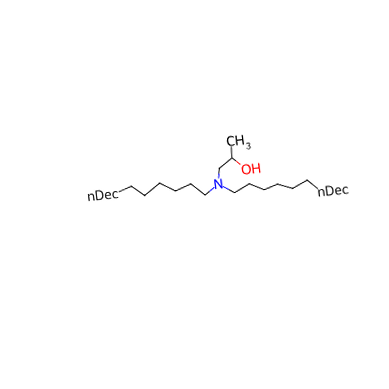 CCCCCCCCCCCCCCCCN(CCCCCCCCCCCCCCCC)CC(C)O